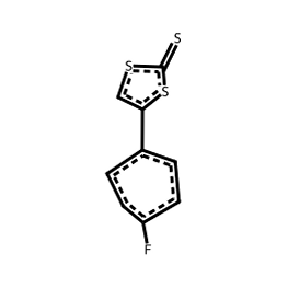 Fc1ccc(-c2csc(=S)s2)cc1